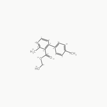 Cc1ccc(-c2ccnc(C)c2C(=O)OCO)cc1